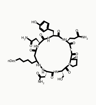 CCCCCCCCCCCCCCC1CC(=O)N[C@@H](CC(N)=O)C(=O)N[C@@H](Cc2ccc(O)cc2)C(=O)N[C@@H](CCC(N)=O)C(=O)CC(=O)[C@@H]2CCCN2C(=O)[C@H](CO)NC(=O)[C@H](CC(N)=O)NN1